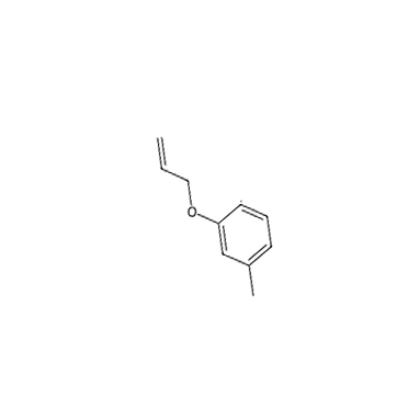 C=CCOc1[c]ccc(C)c1